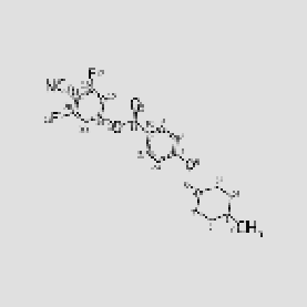 CC1CCC(COc2ccc(C(=O)Oc3cc(F)c(C#N)c(F)c3)cc2)CC1